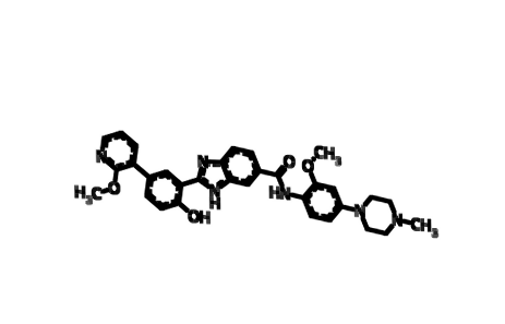 COc1cc(N2CCN(C)CC2)ccc1NC(=O)c1ccc2nc(-c3cc(-c4cccnc4OC)ccc3O)[nH]c2c1